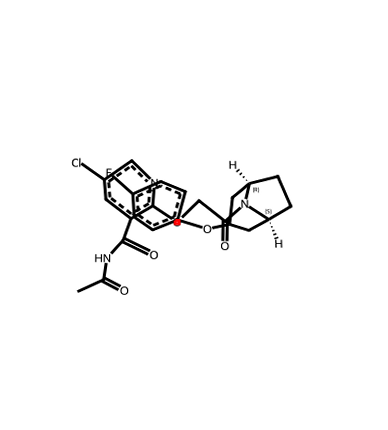 CC(=O)NC(=O)c1cc(Cl)cnc1OCC(=O)N1[C@@H]2CC[C@H]1CC(Oc1ccc(F)cc1)C2